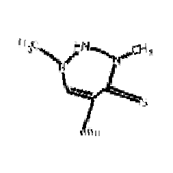 CCCCC1=CN(C)NN(C)C1=S